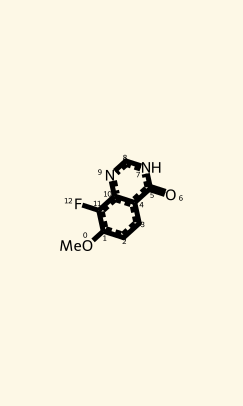 COc1ccc2c(=O)[nH]cnc2c1F